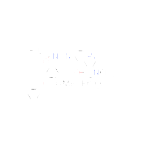 CCOC(=O)c1cn(C)c2cnc3cc(F)c(N4CCN(C(=O)CC(F)(F)F)C(c5ccc(OCc6ccccc6)c(OC)c5)C4)cc3c2c1=O